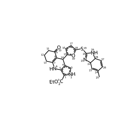 CCOC(=O)c1[nH]cc2c1NC1=C(C(=O)CCC1)C2c1ccc(SC2=NC3C=C(C)C=CC3N2)o1